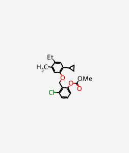 CCc1cc(C2CC2)c(OCc2c(Cl)cccc2OC(=O)OC)cc1C